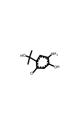 CC(C)(O)c1cc(N)c(O)cc1Cl